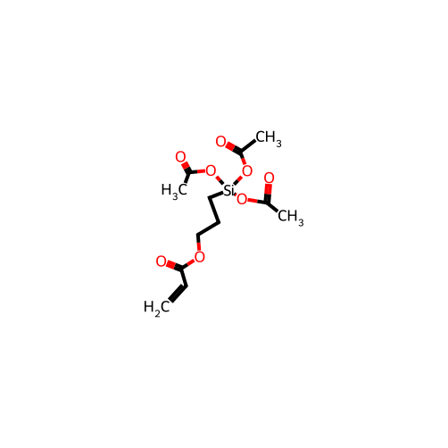 C=CC(=O)OCCC[Si](OC(C)=O)(OC(C)=O)OC(C)=O